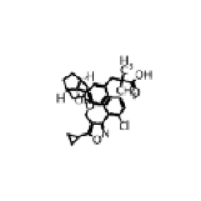 CC(C)(Cc1cccc([C@@]2(O)[C@@H]3CC[C@H]2C[C@@H](OCc2c(-c4c(Cl)cccc4Cl)noc2C2CC2)C3)c1)C(=O)O